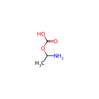 CC(N)OC(=O)O